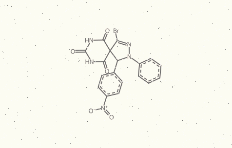 O=C1NC(=O)C2(C(=O)N1)C(Br)=NN(c1ccccc1)C2c1ccc([N+](=O)[O-])cc1